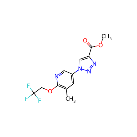 COC(=O)c1cn(-c2cnc(OCC(F)(F)F)c(C)c2)nn1